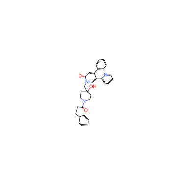 CC(CC(=O)N1CCC(O)(Cn2cc(-c3ccccn3)c(-c3ccccc3)cc2=O)CC1)c1ccccc1